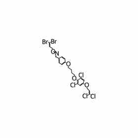 ClC(Cl)=CCOc1cc(Cl)c(OCCCCOc2ccc(/C=N/OCC=C(Br)Br)cc2)c(Cl)c1